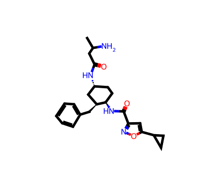 CC(N)CC(=O)N[C@@H]1CC[C@@H](NC(=O)c2cc(C3CC3)on2)[C@@H](Cc2ccccc2)C1